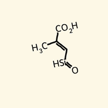 CC(=C[SiH]=O)C(=O)O